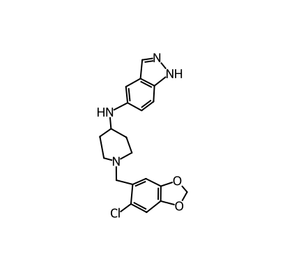 Clc1cc2c(cc1CN1CCC(Nc3ccc4[nH]ncc4c3)CC1)OCO2